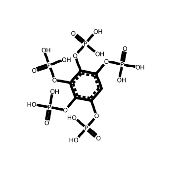 O=P(O)(O)Oc1cc(OP(=O)(O)O)c(OP(=O)(O)O)c(OP(=O)(O)O)c1OP(=O)(O)O